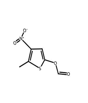 Cc1sc(OC=O)cc1[N+](=O)[O-]